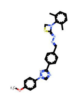 Cc1cccc(C)c1N1CS/C1=N\N=C\c1ccc(-c2ncn(-c3ccc(OC(F)(F)F)cc3)n2)cc1